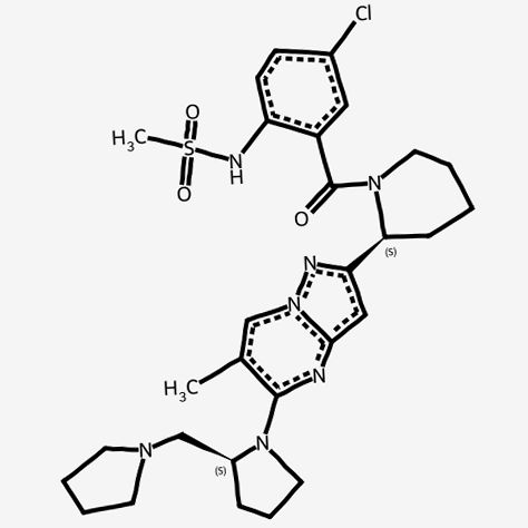 Cc1cn2nc([C@@H]3CCCCN3C(=O)c3cc(Cl)ccc3NS(C)(=O)=O)cc2nc1N1CCC[C@H]1CN1CCCC1